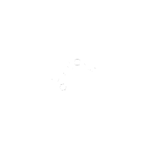 CC1(C)CCC(CN2CCN(C(=O)c3ccc4c(c3F)CN(C3CCC(=O)NC3=O)C4=O)C(CF)C2)=C(c2ccc(F)cc2)C1